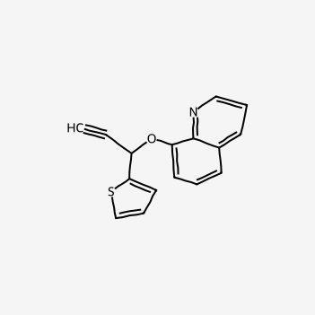 C#CC(Oc1cccc2cccnc12)c1cccs1